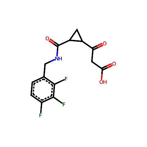 O=C(O)CC(=O)C1CC1C(=O)NCc1ccc(F)c(F)c1F